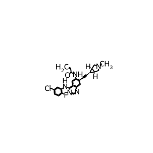 C=CC(=O)Nc1cc2c(Nc3cc(Cl)ccc3F)ncnc2cc1C#C[C@H]1[C@H]2CN(C)C[C@@H]12